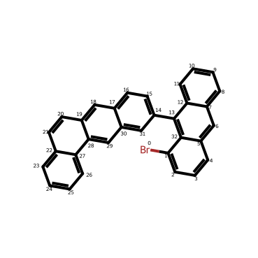 Brc1cccc2cc3ccccc3c(-c3ccc4cc5ccc6ccccc6c5cc4c3)c12